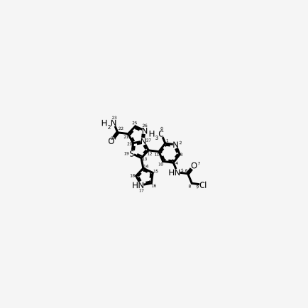 Cc1ncc(NC(=O)CCl)cc1-c1c(-c2cc[nH]c2)sc2c(C(N)=O)cnn12